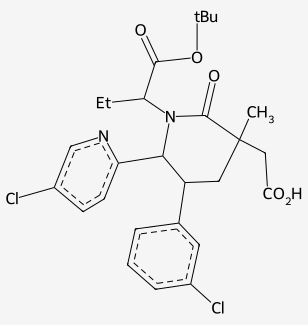 CCC(C(=O)OC(C)(C)C)N1C(=O)C(C)(CC(=O)O)CC(c2cccc(Cl)c2)C1c1ccc(Cl)cn1